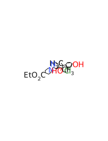 CCOC(=O)C1CCN(c2cc(C(O)(C(C)c3ccc(O)cc3Cl)C(F)(F)F)ccn2)CC1